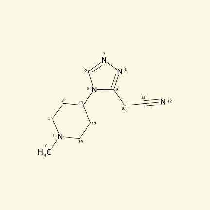 CN1CCC(n2cnnc2CC#N)CC1